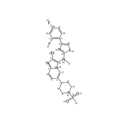 CCc1nc2ccc(C3CCN(S(C)(=O)=O)CC3)cn2c1N(C)c1nc(-c2ccc(F)cc2F)cs1